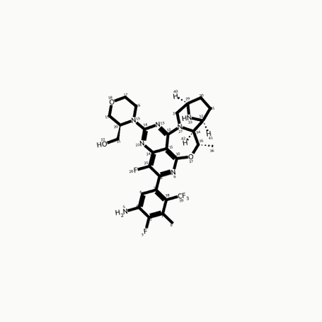 Cc1c(F)c(N)cc(-c2nc3c4c(nc(N5CCOC[C@@H]5CO)nc4c2F)N2C[C@H]4CC[C@H](N4)[C@H]2[C@H](C)O3)c1C(F)(F)F